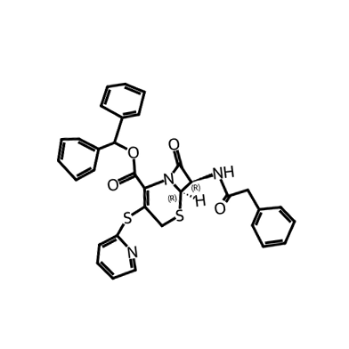 O=C(Cc1ccccc1)N[C@@H]1C(=O)N2C(C(=O)OC(c3ccccc3)c3ccccc3)=C(Sc3ccccn3)CS[C@H]12